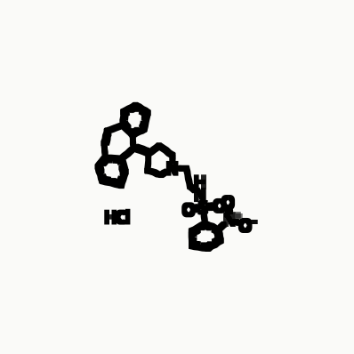 Cl.O=[N+]([O-])c1ccccc1S(=O)(=O)NCCN1CCC(=C2c3ccccc3C=Cc3ccccc32)CC1